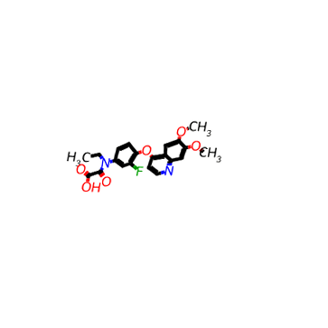 CCN(C(=O)C(=O)O)c1ccc(Oc2ccnc3cc(OC)c(OC)cc23)c(F)c1